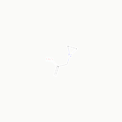 C=C(O)CN1CC1